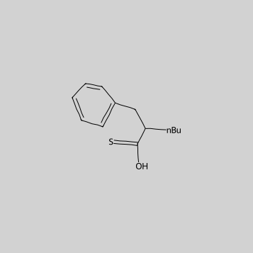 CCCCC(Cc1ccccc1)C(O)=S